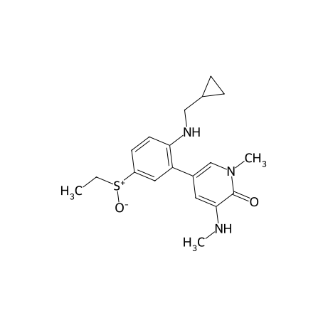 CC[S+]([O-])c1ccc(NCC2CC2)c(-c2cc(NC)c(=O)n(C)c2)c1